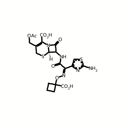 CC(=O)OCC1=C(C(=O)O)N2C(=O)C(NC(=O)/C(=N\OC3(C(=O)O)CCC3)c3csc(N)n3)[C@H]2SC1